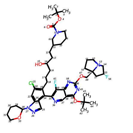 CC(C)(C)OC(=O)N1CCCC(CCC(O)CCCc2c(Cl)cc3c(cnn3C3CCCCO3)c2-c2ncc3c(OC(C)(C)C)nc(OC[C@@]45CCCN4C[C@H](F)C5)nc3c2F)C1